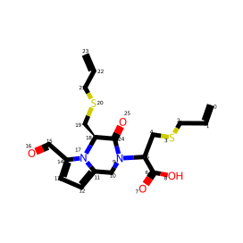 C=CCSCC(C(=O)O)N1Cc2ccc(C=O)n2[C@@H](CSCC=C)C1=O